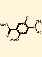 COC(=O)c1cc(Cl)c(N(C)C(C)=O)cc1OC